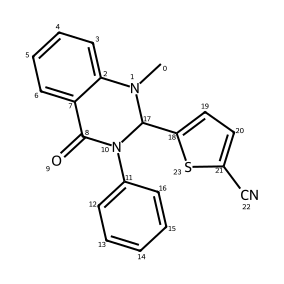 CN1c2ccccc2C(=O)N(c2ccccc2)C1c1ccc(C#N)s1